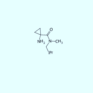 CC(C)CN(C)C(=O)C1(N)CC1